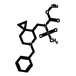 CC(C)(C)OC(=O)N(CC1CN(Cc2ccccc2)CCC12CC2)S(C)(=O)=O